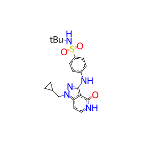 CC(C)(C)NS(=O)(=O)c1ccc(Nc2nn(CC3CC3)c3cc[nH]c(=O)c23)cc1